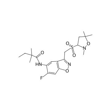 CCC(C)(C)C(=O)Nc1cc2c(CS(=O)(=O)C3CC(C)(C)ON3C)noc2cc1F